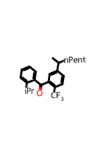 CCCCCC(C)c1ccc(C(F)(F)F)c(C(=O)c2ccccc2C(C)C)c1